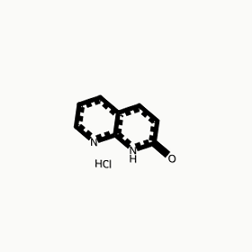 Cl.O=c1ccc2cccnc2[nH]1